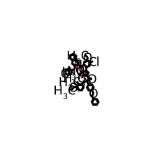 COc1cc(C(=O)N2Cc3ccccc3C[C@H]2CN2CCOCC2)c(-c2cc(C(=O)N(Cc3cccc(OC)c3C)c3ccc(OCc4ccccc4)cc3)c(C)n2C)cc1Cl